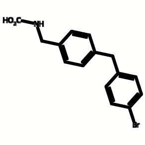 O=C(O)NCc1ccc(Cc2ccc(Br)cc2)cc1